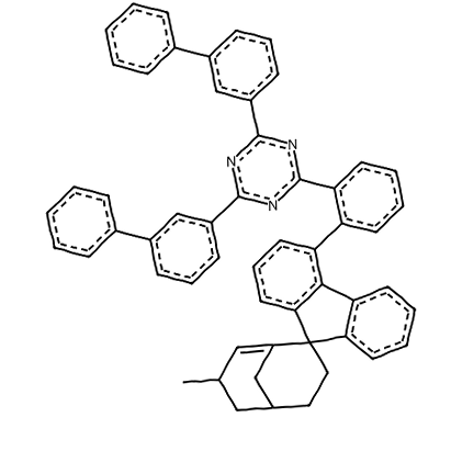 CC1C=C2CC(CCC23c2ccccc2-c2c(-c4ccccc4-c4nc(-c5cccc(-c6ccccc6)c5)nc(-c5cccc(-c6ccccc6)c5)n4)cccc23)C1